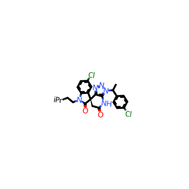 CC(C)CCN1C(=O)[C@]2(CC(=O)Nc3c2nnn3C(C)c2ccc(Cl)cc2)c2cc(Cl)ccc21